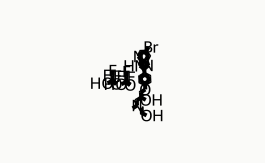 CN(CCO)CC(O)COc1ccc(-c2nc3cc(Br)cnc3[nH]2)cc1.O=C(O)C(F)(F)F.O=C(O)C(F)(F)F